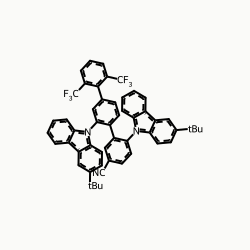 CC(C)(C)c1ccc2c(c1)c1ccccc1n2-c1ccc(C#N)cc1-c1ccc(-c2c(C(F)(F)F)cccc2C(F)(F)F)cc1-n1c2ccccc2c2cc(C(C)(C)C)ccc21